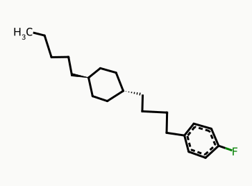 CCCCC[C@H]1CC[C@H](CCCCc2ccc(F)cc2)CC1